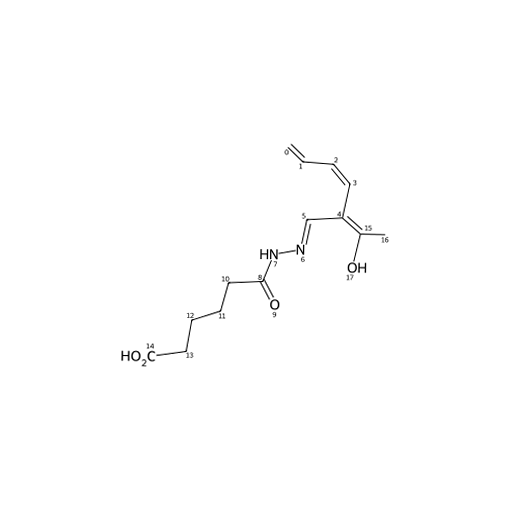 C=C\C=C/C(/C=N/NC(=O)CCCCC(=O)O)=C(\C)O